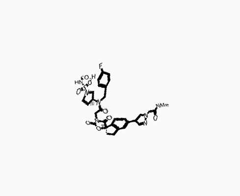 CNC(=O)Cn1cc(-c2ccc3c(c2)CC[C@@]32OC(=O)N(CC(=O)N(Cc3ccc(F)cc3)[C@H]3CCN(S(=O)(=O)NC(=O)O)C3)C2=O)cn1